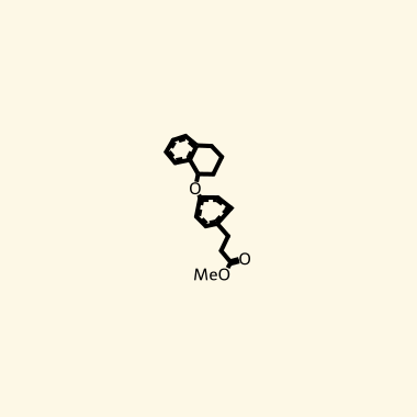 COC(=O)CCc1ccc(OC2CCCc3ccccc32)cc1